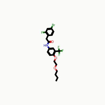 CCCCOCCOc1ccc(NC(=O)Cc2ccc(Br)cc2F)cc1C(F)(F)F